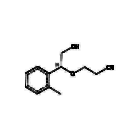 Cc1ccccc1[C@H](CO)OCCC#N